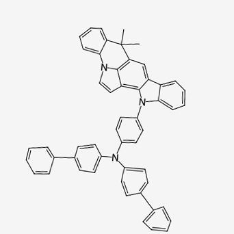 CC1(C)c2ccccc2-n2ccc3c2c1cc1c2ccccc2n(-c2ccc(N(c4ccc(-c5ccccc5)cc4)c4ccc(-c5ccccc5)cc4)cc2)c13